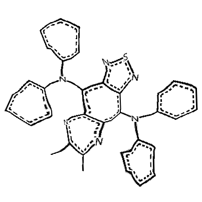 Cc1nc2c(N(c3ccccc3)c3ccccc3)c3nsnc3c(N(c3ccccc3)c3ccccc3)c2nc1C